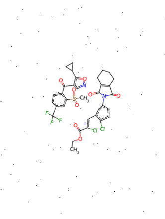 CCOC(=O)/C(Cl)=C/c1cc(N2C(=O)C3=C(CCCC3)C2=O)ccc1Cl.CS(=O)(=O)c1cc(C(F)(F)F)ccc1C(=O)c1cnoc1C1CC1